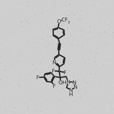 OC(CN1CNN=N1)(c1ccc(F)cc1F)C(F)(F)c1ccc(C#Cc2ccc(OC(F)(F)F)cc2)cn1